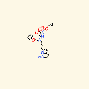 O=C(NC(CCN(CCCCc1ccc2c(n1)NCCC2)CCOc1ccccc1)C(=O)O)OCC1CC1